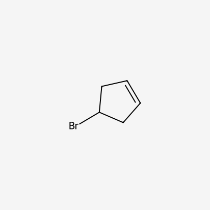 BrC1CC=CC1